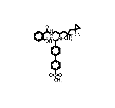 CC(F)(CC(CNC(=O)c1ccccc1O)N[C@@H](c1ccc(-c2ccc(S(C)(=O)=O)cc2)cc1)C(F)(F)F)CC1(C#N)CC1